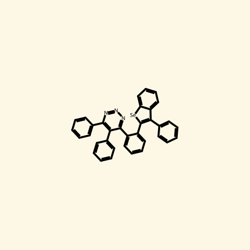 c1ccc(-c2nnnc(-c3ccccc3-c3[se]c4ccccc4c3-c3ccccc3)c2-c2ccccc2)cc1